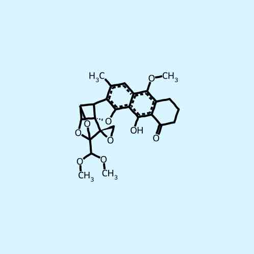 COc1c2c(c(O)c3c4c(c(C)cc13)C1C3OC5(C(OC)OC)OC3[C@]1(O4)[C@@]51CO1)C(=O)CCC2